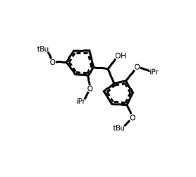 CC(C)Oc1cc(OC(C)(C)C)ccc1C(O)c1ccc(OC(C)(C)C)cc1OC(C)C